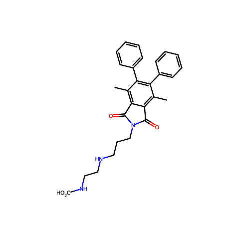 Cc1c2c(c(C)c(-c3ccccc3)c1-c1ccccc1)C(=O)N(CCCNCCNC(=O)O)C2=O